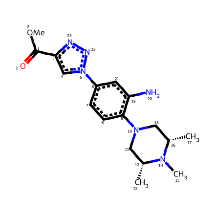 COC(=O)c1cn(-c2ccc(N3C[C@@H](C)N(C)[C@@H](C)C3)c(N)c2)nn1